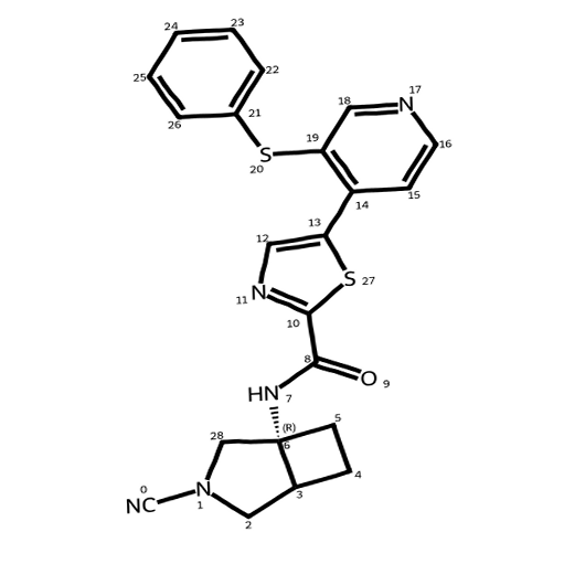 N#CN1CC2CC[C@]2(NC(=O)c2ncc(-c3ccncc3Sc3ccccc3)s2)C1